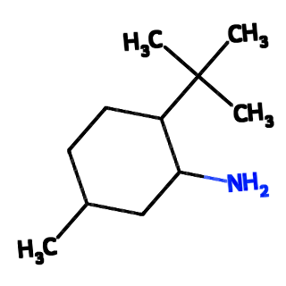 CC1CCC(C(C)(C)C)C(N)C1